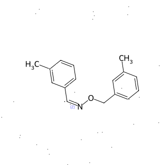 Cc1cccc(/[C]=N\OCc2cccc(C)c2)c1